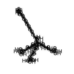 N=N/C(=C\NCCOCCOCCOCCOCCOCCOCCOCCOCCC(=O)Oc1c(F)c(F)c(F)c(F)c1F)CCC(=O)NC(COCCC(=O)NCCCNC(=O)CCCCO[C@H]1C[C@@H](O)[C@@H](O)[C@@H](CO)O1)(COCCC(=O)NCCCNC(=O)CCCCO[C@H]1C[C@@H](O)[C@@H](O)[C@@H](CO)O1)COCCC(=O)NCCCNC(=O)CCCCO[C@H]1C[C@@H](O)[C@@H](O)[C@@H](CO)O1